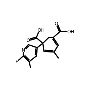 CC1=CC(C(=O)O)(c2cnc(F)c(C)c2)CC(C(=O)O)=C1